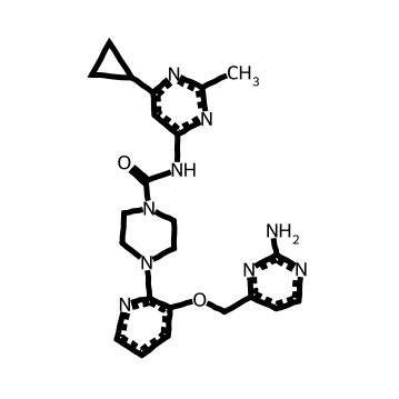 Cc1nc(NC(=O)N2CCN(c3ncccc3OCc3ccnc(N)n3)CC2)cc(C2CC2)n1